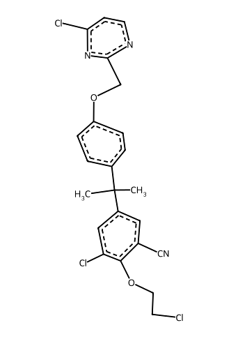 CC(C)(c1ccc(OCc2nccc(Cl)n2)cc1)c1cc(Cl)c(OCCCl)c(C#N)c1